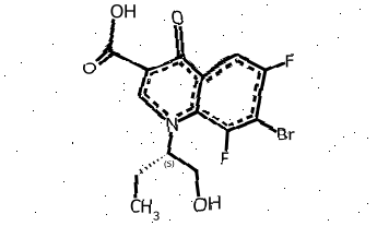 CC[C@@H](CO)n1cc(C(=O)O)c(=O)c2cc(F)c(Br)c(F)c21